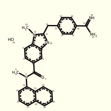 CN(C(=O)c1ccc2c(c1)nc(Cc1ccc(C(=N)N)cc1)n2C)c1cccc2ccccc12.Cl